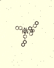 C1=CC2=C(C=C(c3nc(C4=CC=C(c5ccc6ccccc6c5)CC4)nc(-c4ccc(C5C=Cc6ccccc6C5)c5oc6c(c45)CCC=C6)n3)CC2)CC1